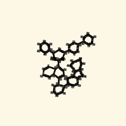 C1=CC2C(C3=NC(c4ccc(-c5ccccc5)cc4)=CC(c4ccccc4)N3)=CC=C(c3ccccc3-c3ccc4sc5ccccc5c4c3)C2C=C1